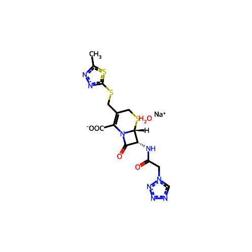 Cc1nnc(SCC2=C(C(=O)[O-])N3C(=O)[C@@H](NC(=O)Cn4cnnn4)[C@H]3SC2)s1.O.[Na+]